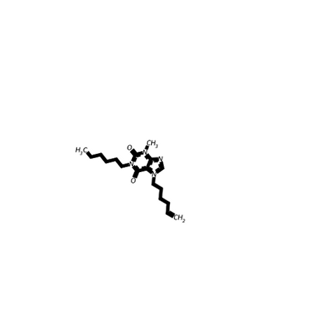 C=CCCCCn1cnc2c1c(=O)n(CCCCCC)c(=O)n2C